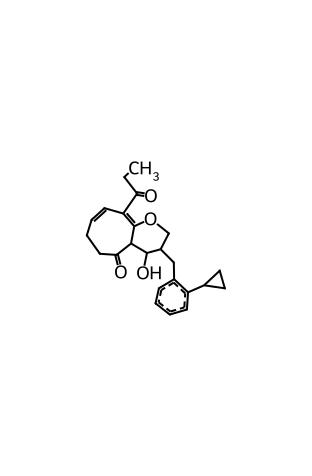 CCC(=O)C1=C2OCC(Cc3ccccc3C3CC3)C(O)C2C(=O)CCC=C1